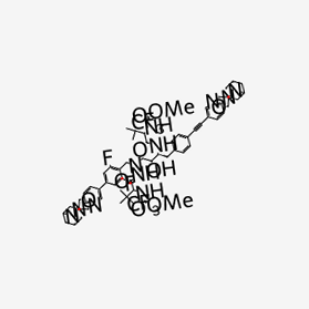 COC(=O)N[C@H](C(=O)N[C@@H](Cc1ccc(C#Cc2ccc(N3CC4CC(C3)N4C3COC3)nc2)cc1)[C@@H](O)CN(Cc1c(F)cc(-c2ccc(N3CC4CC(C3)N4C3COC3)nc2)cc1F)NC(=O)[C@@H](NC(=O)OC)C(C)(C)C(F)(F)F)C(C)(C)C(F)(F)F